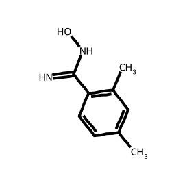 Cc1ccc(C(=N)NO)c(C)c1